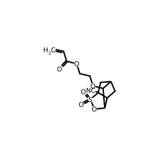 C=CC(=O)OCCOC1C2CC3C1OS(=O)(=O)C3(C#N)C2